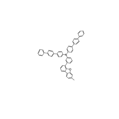 Cc1ccc2c(c1)oc1c(-c3cccc(N(c4ccc(-c5ccc(-c6ccccc6)cc5)cc4)c4ccc(-c5ccc(-c6ccccc6)cc5)cc4)c3)cccc12